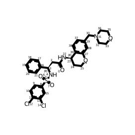 O=C(C[C@@H](NS(=O)(=O)c1ccc(Cl)c(Cl)c1)c1ccccc1)N[C@@H]1CCOc2cc(CN3CCOCC3)ccc21